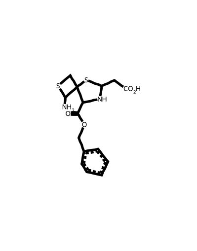 NC1SCC12SC(CC(=O)O)NC2C(=O)OCc1ccccc1